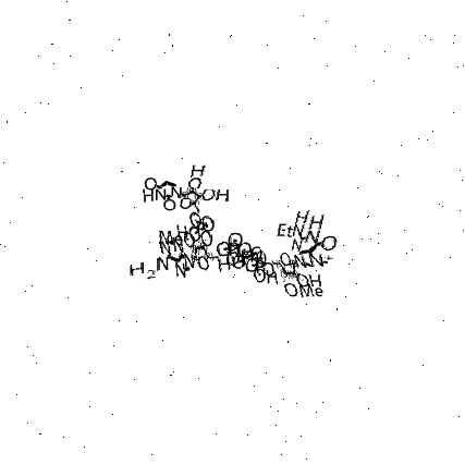 CCNc1nc2c(c(=O)[nH]1)[n+](C)cn2[C@@H]1O[C@H](COP(=O)(O)OP(=O)(O)OP(=O)(O)OC[C@H]2O[C@@H](n3cnc4c(N)ncnc43)[C@H](OC)[C@@H]2OP(=O)(O)OC[C@H]2O[C@@H](n3ccc(=O)[nH]c3=O)[C@H](O)[C@@H]2O)[C@@H](COC)[C@H]1O